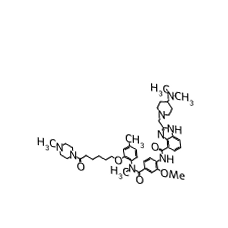 COc1cc(C(=O)N(C)c2ccc(C)cc2OCCCCCC(=O)N2CCN(C)CC2)ccc1NC(=O)c1cccc2[nH]c(CN3CCC(N(C)C)CC3)nc12